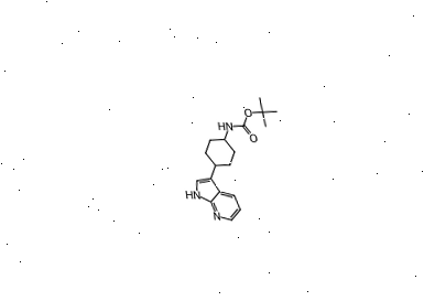 CC(C)(C)OC(=O)NC1CCC(c2c[nH]c3ncccc23)CC1